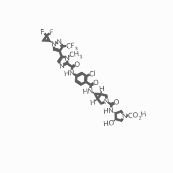 Cn1c(-c2cn([C@H]3CC3(F)F)nc2C(F)(F)F)cnc1C(=O)Nc1ccc(C(=O)N[C@H]2[C@@H]3CN(C(=O)N[C@@H]4CN(C(=O)O)C[C@H]4O)C[C@@H]32)c(Cl)c1